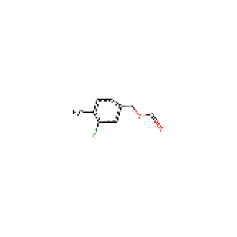 Cc1ccc(COC=O)cc1Cl